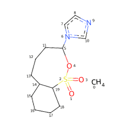 C.O=S1(=O)OC(n2ccnc2)CCCC2CCCCC21